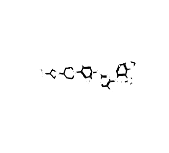 COc1cc(N2CCC(N3CC(N(C)C)C3)CC2)c(C)cc1Nc1ncc(Br)c(Nc2ccc3c(c2P(C)(C)=O)OCO3)n1